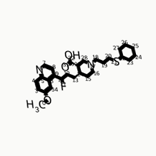 COc1ccc2nccc(C(F)CC[C@@H]3CCN(CCCSC4CCCCC4)C[C@@H]3C(=O)O)c2c1